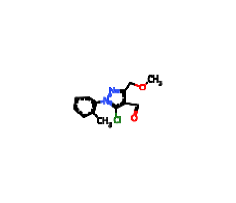 COCc1nn(-c2ccccc2C)c(Cl)c1C=O